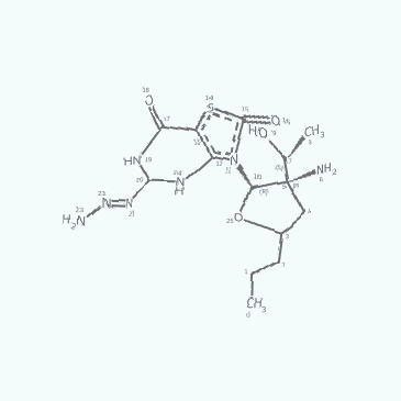 CCCC1C[C@@](N)([C@H](C)O)[C@H](n2c3c(sc2=O)C(=O)NC(N=NN)N3)O1